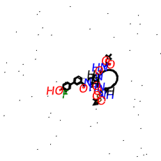 CC(C)(C)OC(=O)N[C@H]1CCCCC/C=C\[C@H]2C[C@@]2(C(=O)NS(=O)(=O)C2(C)CC2)NC(=O)[C@@H]2[C@H]3CN(C(=O)c4cccc(-c5ccc(O)c(F)c5)c4)C[C@H]3CN2C1=O